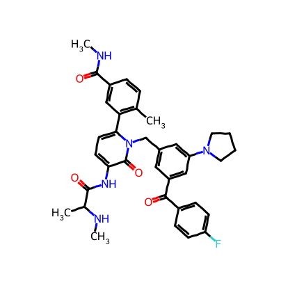 CNC(=O)c1ccc(C)c(-c2ccc(NC(=O)C(C)NC)c(=O)n2Cc2cc(C(=O)c3ccc(F)cc3)cc(N3CCCC3)c2)c1